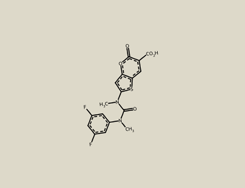 CN(C(=O)N(C)c1cc2oc(=O)c(C(=O)O)cc2s1)c1cc(F)cc(F)c1